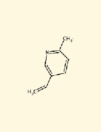 [CH2]c1ccc(C=C)cn1